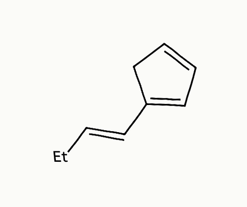 CCC=CC1=CC=CC1